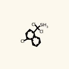 [SiH3]C(Cl)(Cl)c1ccc(Cl)c2ccccc12